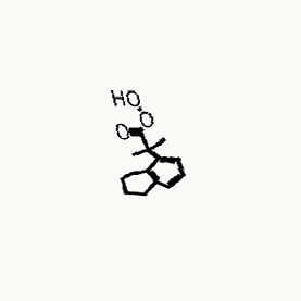 CC(C)(C(=O)OO)c1cccc2c1CCCC2